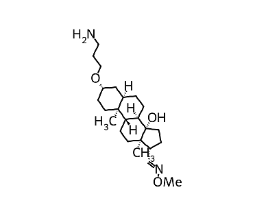 CO/N=C/[C@H]1CC[C@]2(O)[C@@H]3CC[C@@H]4C[C@@H](OCCCN)CC[C@]4(C)[C@H]3CC[C@]12C